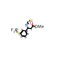 COC(=O)CC(N=C=S)c1cccc(SC(F)(F)F)c1